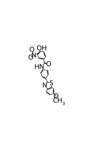 COc1ccc2nc(-c3ccc(NC(=O)c4ccc(O)c([N+](=O)[O-])c4)cc3)sc2c1